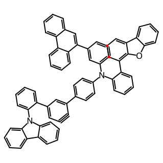 c1cc(-c2ccccc2-n2c3ccccc3c3ccccc32)cc(-c2ccc(N(c3cccc(-c4cc5ccccc5c5ccccc45)c3)c3ccccc3-c3cccc4c3oc3ccccc34)cc2)c#1